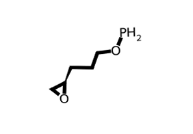 POCCC[C@@H]1CO1